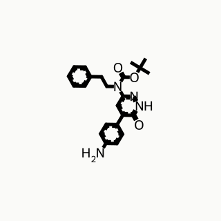 CC(C)(C)OC(=O)N(CCc1ccccc1)c1cc(-c2ccc(N)cc2)c(=O)[nH]n1